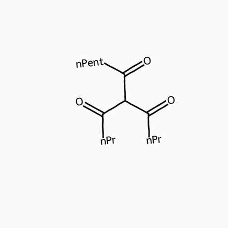 CCCCCC(=O)C(C(=O)CCC)C(=O)CCC